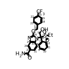 CCS(=O)(=O)C(CO)(c1ccccc1)n1c(OCc2ccc(C(F)(F)F)cc2)nc2cc(C(N)=O)ccc21